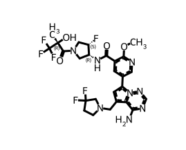 COc1ncc(-c2cc(CN3CCC(F)(F)C3)c3c(N)ncnn23)cc1C(=O)N[C@@H]1CN(C(=O)[C@@](C)(O)C(F)(F)F)C[C@@H]1F